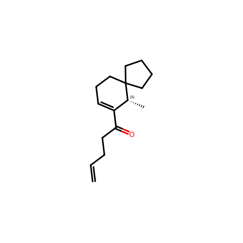 C=CCCC(=O)C1=CCCC2(CCCC2)[C@@H]1C